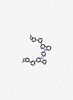 CC1Cc2ccc(-c3cccc(-c4ccc5c(c4)c4ccccc4n5-c4ccc(-n5c6ccccc6c6cc(-c7cccc(-c8ccc9c(c8)C(C)C9)c7)ccc65)cc4)c3)cc21